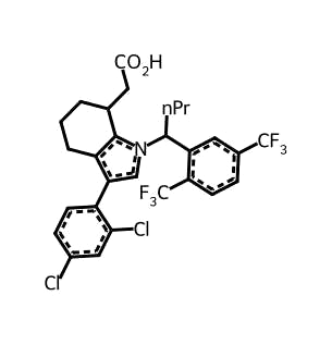 CCCC(c1cc(C(F)(F)F)ccc1C(F)(F)F)n1cc(-c2ccc(Cl)cc2Cl)c2c1C(CC(=O)O)CCC2